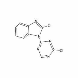 Clc1ncnc(-n2c(Cl)nc3ccccc32)n1